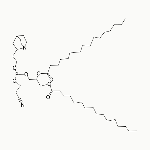 CCCCCCCCCCCCCCCC(=O)OCC(COP(OCCC#N)OCCC1CC2CCN1CC2)OC(=O)CCCCCCCCCCCCCCC